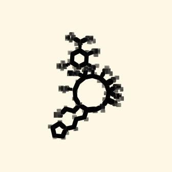 CO[C@]1(C)C[C@@H](C)CN(CCO)C(CCCN2CCCC2)=COC(=O)C(C)(C)C(=O)[C@H](C)[C@H]1O[C@@H]1O[C@H](C)C[C@H](N(C)C)[C@H]1O